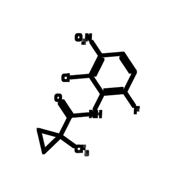 O=C(Nc1c(F)ccc([N+](=O)[O-])c1Cl)C1(C(F)(F)F)CC1